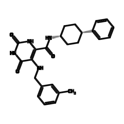 Cc1cccc(CNc2c(C(=O)N[C@H]3CC[C@@H](c4ccccc4)CC3)[nH]c(=O)[nH]c2=O)c1